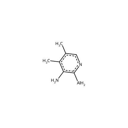 Cc1cn[c]([AlH2])c(N)c1C